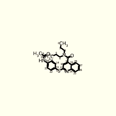 CCCN(CCC)C(=O)c1cc(Sc2ccc(NC(C)=O)cc2)nc2ccccc12